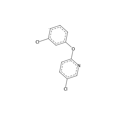 Clc1[c]ccc(Oc2ccc(Cl)cn2)c1